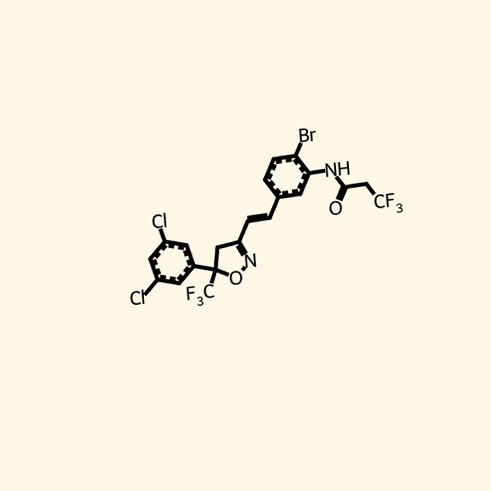 O=C(CC(F)(F)F)Nc1cc(/C=C/C2=NOC(c3cc(Cl)cc(Cl)c3)(C(F)(F)F)C2)ccc1Br